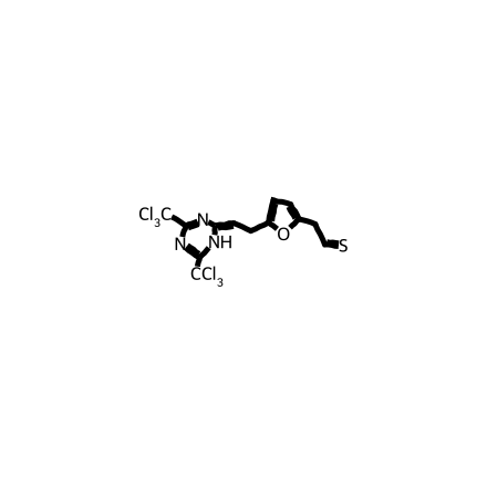 S=CCc1ccc(CC=C2N=C(C(Cl)(Cl)Cl)N=C(C(Cl)(Cl)Cl)N2)o1